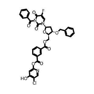 O=C(OC[C@H]1O[C@@H](n2cc(F)c(=O)n(C(=O)c3ccccc3)c2=O)C[C@@H]1OCc1ccccc1)c1cccc(C(=O)Oc2cc(O)c(Cl)cn2)c1